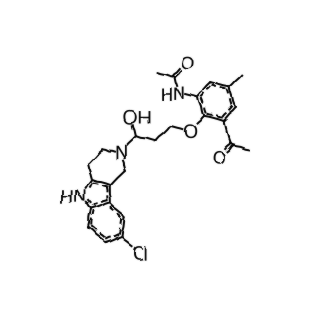 CC(=O)Nc1cc(C)cc(C(C)=O)c1OCCC(O)N1CCc2[nH]c3ccc(Cl)cc3c2C1